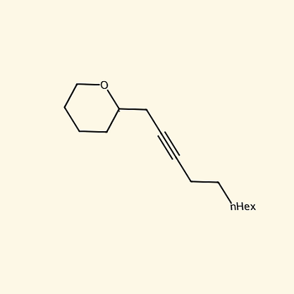 CCCCCCCCC#CC[C]1CCCCO1